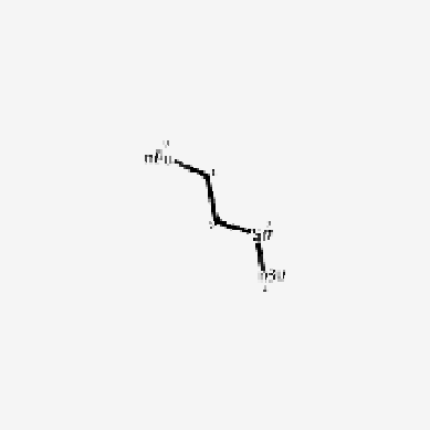 CCCCC[CH2][Sn][CH2]CCC